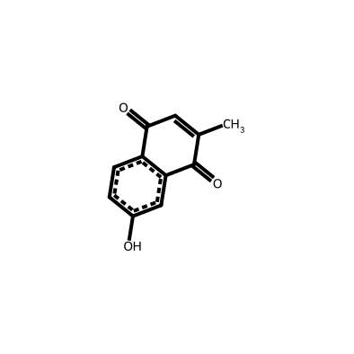 CC1=CC(=O)c2ccc(O)cc2C1=O